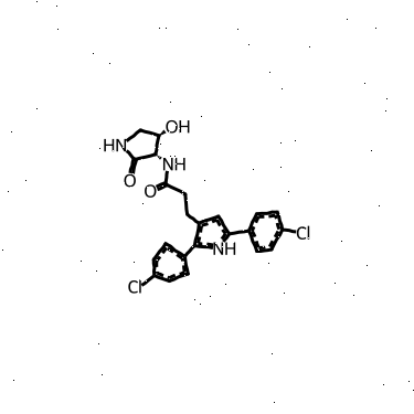 O=C(CCc1cc(-c2ccc(Cl)cc2)[nH]c1-c1ccc(Cl)cc1)N[C@@H]1C(=O)NC[C@H]1O